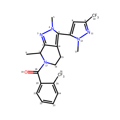 CC1c2nn(C)c(-c3cc(C(F)(F)F)nn3C)c2CCN1C(=O)c1ccccc1C(F)(F)F